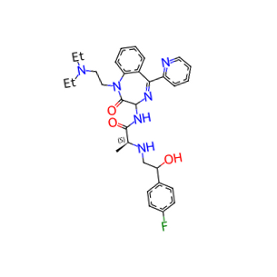 CCN(CC)CCN1C(=O)C(NC(=O)[C@H](C)NCC(O)c2ccc(F)cc2)N=C(c2ccccn2)c2ccccc21